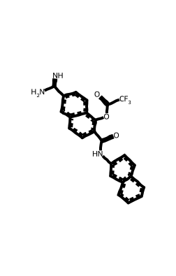 N=C(N)c1ccc2c(OC(=O)C(F)(F)F)c(C(=O)Nc3ccc4ccccc4c3)ccc2c1